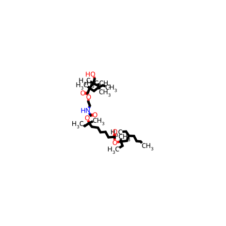 CCCCC(CC)CC(C)(CC)OC(=O)CCCCCC(C)(CC)OC(=O)NCCOC(=O)C(C)(CC(C)(C)CC)C(C)(CC)CO